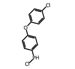 ClPc1ccc(Oc2ccc(Cl)cc2)cc1